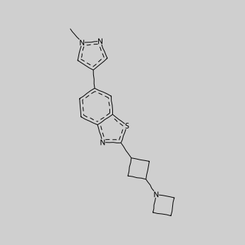 Cn1cc(-c2ccc3nc(C4CC(N5CCC5)C4)sc3c2)cn1